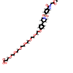 CC(C)(C)OC(=O)CNC(=O)c1ccc(S(=O)(=O)N2CCC(c3ccc(OCCOCCOCCOCCOCCOCCOCCC(=O)O)cc3)CC2)cc1